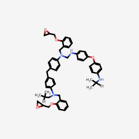 CCC(C)(C)CN(Cc1ccccc1OCC1CO1)c1ccc(Cc2ccc(N(CNc3ccc(Oc4ccc(NC(C)(C)CC)cc4)cc3)Cc3ccccc3OCC3CO3)cc2)cc1